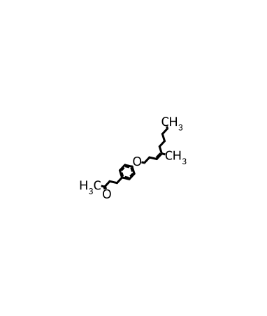 CCCCCC(C)=CCCOc1ccc(CCC(C)=O)cc1